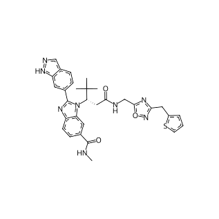 CNC(=O)c1ccc2nc(-c3ccc4cn[nH]c4c3)n([C@@H](CC(=O)NCc3nc(Cc4cccs4)no3)C(C)(C)C)c2c1